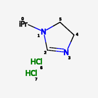 CC(C)N1C=NCC1.Cl.Cl